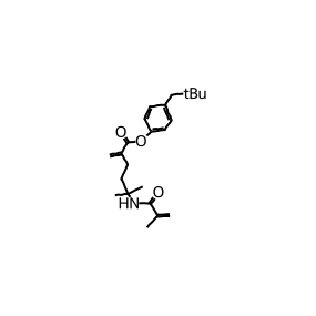 C=C(C)C(=O)NC(C)(C)CCC(=C)C(=O)Oc1ccc(CC(C)(C)C)cc1